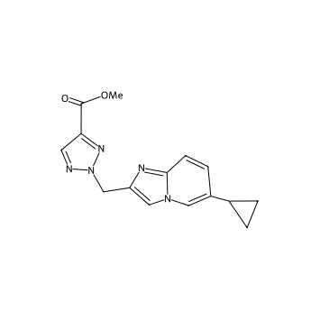 COC(=O)c1cnn(Cc2cn3cc(C4CC4)ccc3n2)n1